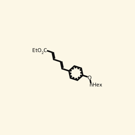 CCCCCCOc1ccc(/C=C/C=C/C(=O)OCC)cc1